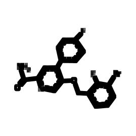 NC(=O)c1cc(-c2ccc(F)cc2)c(OCc2cccc(Br)c2F)cn1